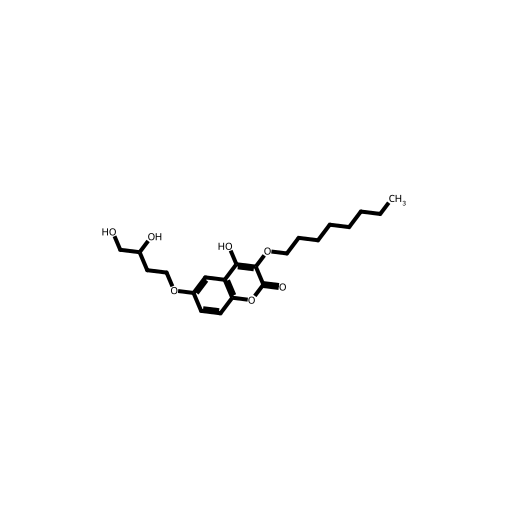 CCCCCCCCOc1c(O)c2cc(OCCC(O)CO)ccc2oc1=O